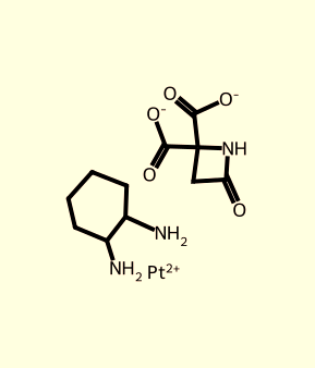 NC1CCCCC1N.O=C1CC(C(=O)[O-])(C(=O)[O-])N1.[Pt+2]